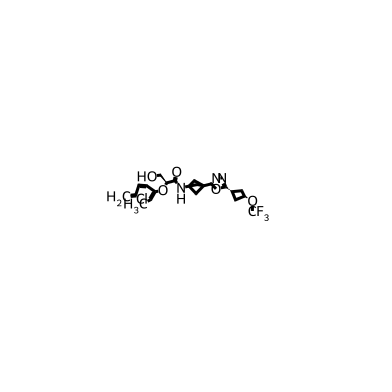 C=C(Cl)/C=C\C(=C/C)O[C@@H](CO)C(=O)NC12CC(c3nnc([C@H]4C[C@@H](OC(F)(F)F)C4)o3)(C1)C2